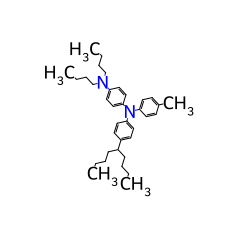 CCCCC(CCCC)c1ccc(N(c2ccc(C)cc2)c2ccc(N(CCCC)CCCC)cc2)cc1